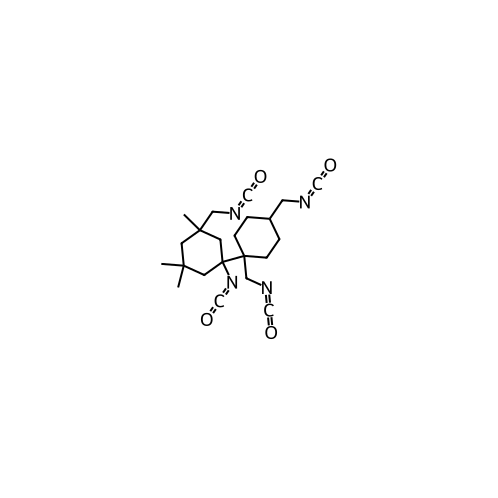 CC1(C)CC(C)(CN=C=O)CC(N=C=O)(C2(CN=C=O)CCC(CN=C=O)CC2)C1